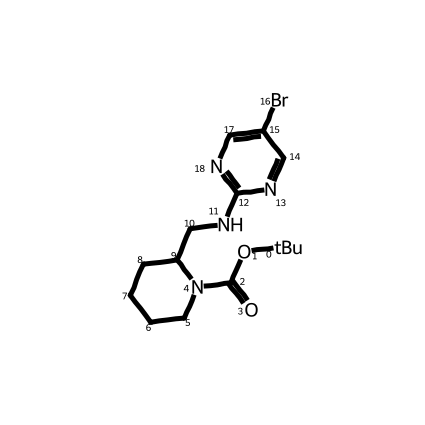 CC(C)(C)OC(=O)N1CCCCC1CNc1ncc(Br)cn1